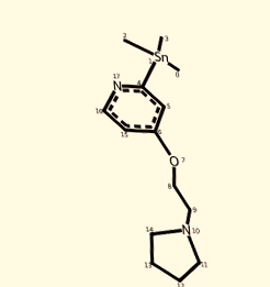 [CH3][Sn]([CH3])([CH3])[c]1cc(OCCN2CCCC2)ccn1